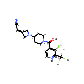 N#CC=C1CN(C2CCN(C(=O)c3ccnc(C(F)(F)F)c3F)CC2)C1